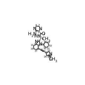 C[C@@H](NC(=O)c1nccnc1N)c1nc2cccc(C#Cc3cnn(C)c3)c2n1-c1ccccc1